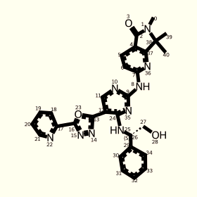 CN1C(=O)c2ccc(Nc3ncc(-c4nnc(-c5ccccn5)o4)c(N[C@H](CO)c4ccccc4)n3)nc2C1(C)C